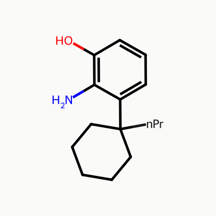 CCCC1(c2cccc(O)c2N)CCCCC1